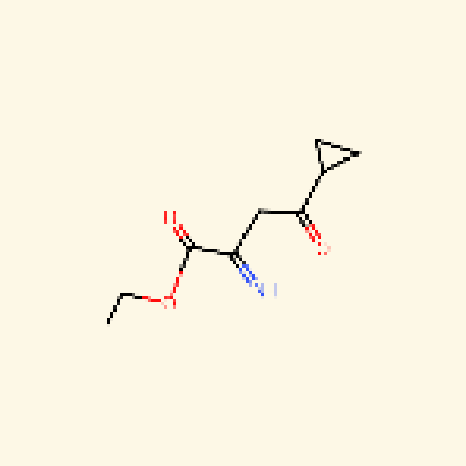 CCOC(=O)C(=N)CC(=O)C1CC1